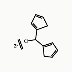 C=C.ClC(C1=CC=CC1)C1=CC=CC1.[Zr]